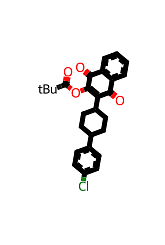 CC(C)(C)C(=O)OC1=C(C2CCC(c3ccc(Cl)cc3)CC2)C(=O)c2ccccc2C1=O